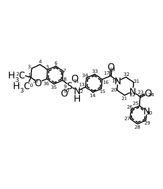 CC1(C)CCc2ccc(S(=O)(=O)Nc3ccc(C(=O)N4CCN(C(=O)c5ccccn5)CC4)cc3)cc2O1